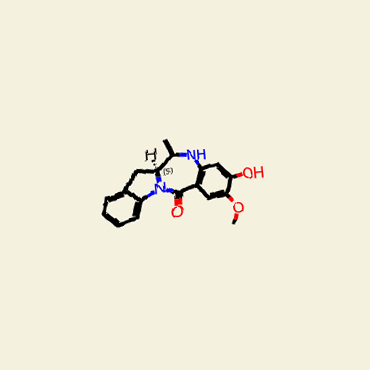 COc1cc2c(cc1O)NC(C)[C@@H]1Cc3ccccc3N1C2=O